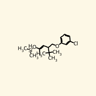 C[SiH](C)OC(I)=CC(COc1cccc(Cl)c1)C(C)(C)C